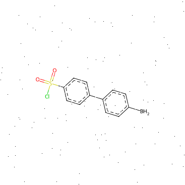 Bc1ccc(-c2ccc(S(=O)(=O)Cl)cc2)cc1